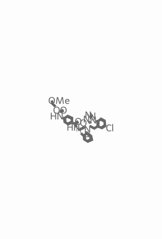 COCCOC(=O)Nc1ccc(C(=O)N[C@@H](Cc2ccccc2)C(=O)NCCc2cc(Cl)ccc2-n2cnnn2)cc1